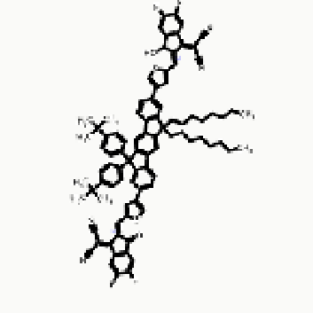 CCCCCCCCC1(CCCCCCCC)c2cc(-c3csc(/C=C4/C(=C(C#N)C#N)c5cc(F)c(F)cc5C4O)c3)ccc2-c2cc3c(cc21)-c1ccc(-c2csc(/C=C4\C(=O)c5cc(F)c(F)cc5C4=C(C#N)C#N)c2)cc1C3(c1ccc(C(C)(C)C)cc1)c1ccc(C(C)(C)C)cc1